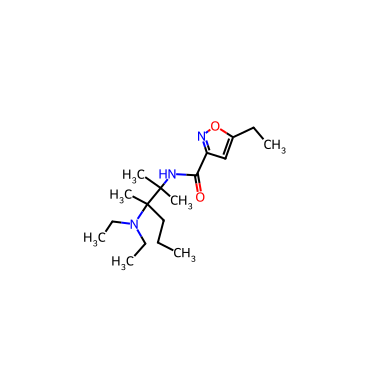 CCCC(C)(N(CC)CC)C(C)(C)NC(=O)c1cc(CC)on1